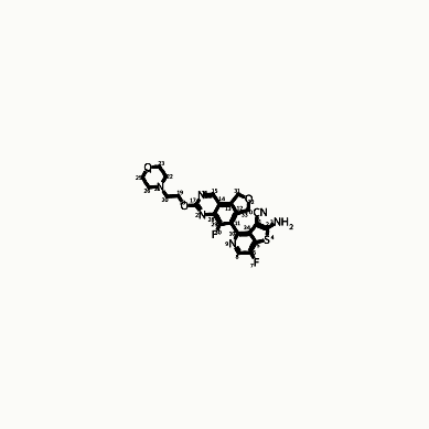 N#Cc1c(N)sc2c(F)cnc(-c3c4c(c5cnc(OCCN6CCOCC6)nc5c3F)COC4)c12